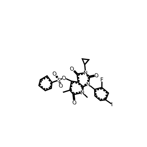 Cc1c(OS(=O)(=O)c2ccccc2)c2c(=O)n(C3CC3)c(=O)n(-c3ccc(I)cc3F)c2n(C)c1=O